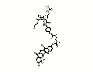 CCc1c2c(nc3ccc(OC(=O)N(C)CCN(C)C(=O)OCc4ccc(NC(=O)[C@H](CCCNC(N)=O)NC(=O)C5(NC(=O)CCC(C)=O)CCC5)cc4)cc13)-c1cc3c(c(=O)n1C2)COC(=O)[C@]3(O)CC